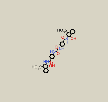 O=C(Nc1ccc(C(=O)Nc2cc(S(=O)(=O)O)c3ccccc3c2O)cc1)C(=O)Nc1ccc(C(=O)Nc2cc(S(=O)(=O)O)c3ccccc3c2O)cc1